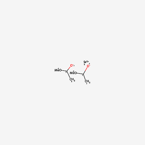 COC(C)[O-].COC(C)[O-].[Sr+2]